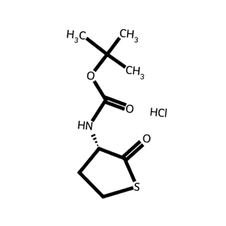 CC(C)(C)OC(=O)N[C@H]1CCSC1=O.Cl